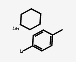 [CH]1CCCCC1.[LiH].[Li][c]1ccc(C)cc1